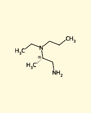 CCCN(CC)[C@@H](C)CN